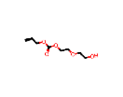 C=CCOC(=O)OCCOCCO